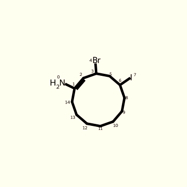 N/C1=C/C(Br)CC(I)CCCCCCC1